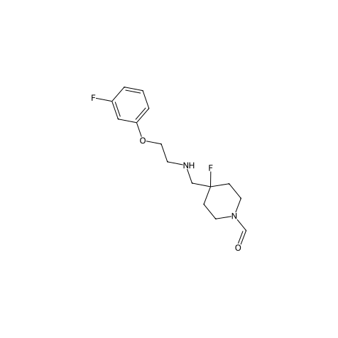 O=CN1CCC(F)(CNCCOc2cccc(F)c2)CC1